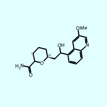 COc1cnc2cccc(C(O)C[C@@H]3CC[C]C(C(N)=O)O3)c2c1